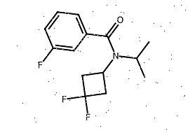 CC(C)N(C(=O)c1cccc(F)c1)C1CC(F)(F)C1